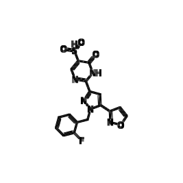 O=c1[nH]c(-c2cc(-c3ccon3)n(Cc3ccccc3F)n2)ncc1[SH](=O)=O